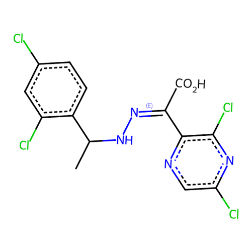 CC(N/N=C(/C(=O)O)c1ncc(Cl)nc1Cl)c1ccc(Cl)cc1Cl